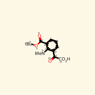 CNc1c(C(=O)OC(C)(C)C)cccc1C(=O)C(=O)O